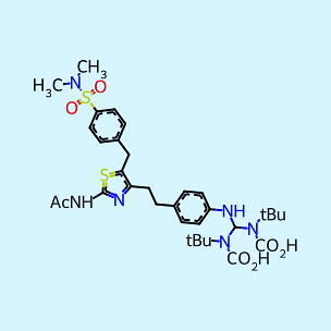 CC(=O)Nc1nc(CCc2ccc(NC(N(C(=O)O)C(C)(C)C)N(C(=O)O)C(C)(C)C)cc2)c(Cc2ccc(S(=O)(=O)N(C)C)cc2)s1